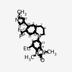 CCc1cc(N2CCCc3cc(-c4cnn(C)c4)c(C(F)F)cc32)cc2c1n(C)c(=O)n2C